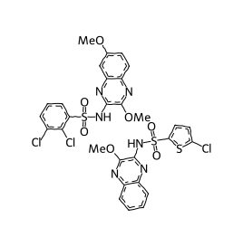 COc1ccc2nc(OC)c(NS(=O)(=O)c3cccc(Cl)c3Cl)nc2c1.COc1nc2ccccc2nc1NS(=O)(=O)c1ccc(Cl)s1